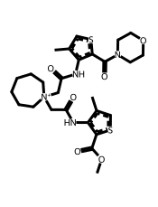 COC(=O)c1scc(C)c1NC(=O)C[N+]1(CC(=O)Nc2c(C)csc2C(=O)N2CCOCC2)CCCCCC1